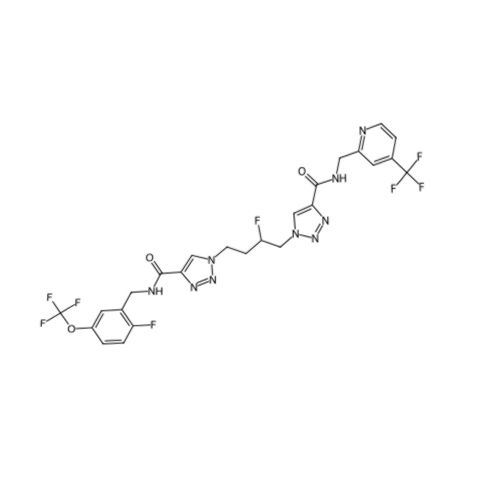 O=C(NCc1cc(OC(F)(F)F)ccc1F)c1cn(CCC(F)Cn2cc(C(=O)NCc3cc(C(F)(F)F)ccn3)nn2)nn1